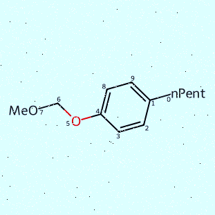 CCC[CH]Cc1ccc(OCOC)cc1